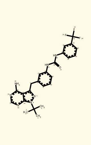 CC(C)(C)n1nc(Cc2cccc(NC(=O)Nc3cccc(C(F)(F)F)c3)c2)c2c(N)ncnc21